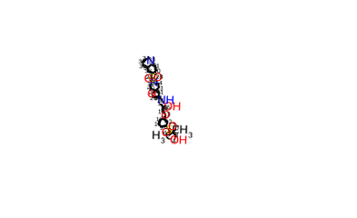 CC(C)(CO)S(=O)(=O)c1cccc(OC[C@@H](O)CN[C@H]2COC3(CCN(S(=O)(=O)c4ccc5ncccc5c4)CC3)C2)c1